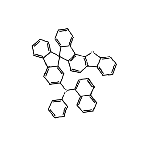 c1ccc(N(c2ccc3c(c2)C2(c4ccccc4-3)c3ccccc3-c3c2ccc2c3oc3ccccc32)c2cccc3ccccc23)cc1